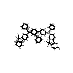 CC1C=CC2=C(C1)C1=CCC(N(c3ccccc3)c3ccc(-c4ccc(N(c5ccccc5)c5ccc6c(c5)C(C)(C)c5ccccc5-6)cc4-c4ccccc4)cc3)C=C1C2(C)C